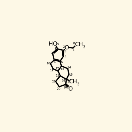 CCOc1cc2c(cc1O)CCC1C2CCC2(C)C(=O)CCC12